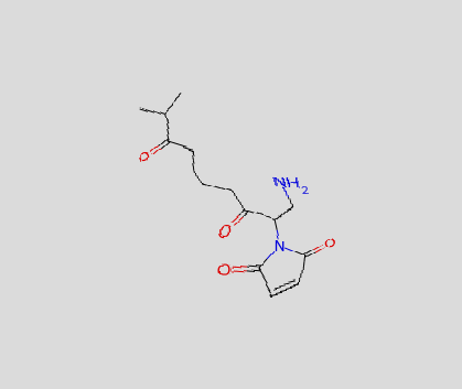 CC(C)C(=O)CCCC(=O)C(CN)N1C(=O)C=CC1=O